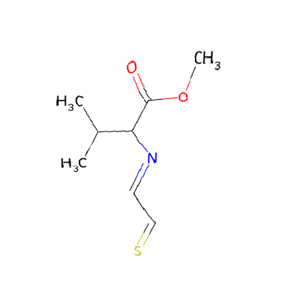 COC(=O)C(N=CC=S)C(C)C